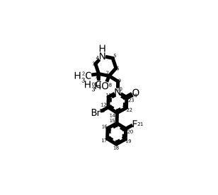 CC1(C)CNCCC1(O)Cn1cc(Br)c(-c2ccccc2F)cc1=O